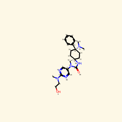 CN(CCO)c1ncc(N2C[C@]3(CC[C@@](c4ccccc4)(N(C)C)CC3)NC2=O)cn1